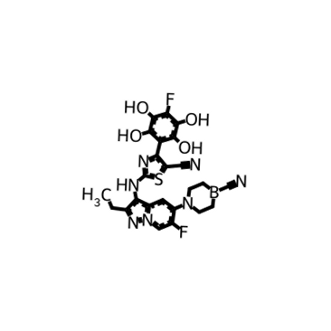 CCc1nn2cc(F)c(N3CCB(C#N)CC3)cc2c1Nc1nc(-c2c(O)c(O)c(F)c(O)c2O)c(C#N)s1